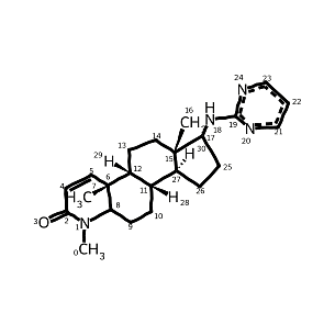 CN1C(=O)C=C[C@@]2(C)C1CC[C@@H]1[C@H]2CC[C@]2(C)C(Nc3ncccn3)CC[C@@H]12